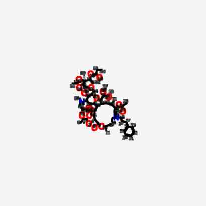 CCC(=O)O[C@@H]1CC(=O)O[C@H](C)CCN(CCCc2ccccc2)C[C@H](OC(C)=O)[C@H](C)C[C@H](CC(OC)OC)[C@H]([C@@H]2O[C@H](C)[C@@H](O[C@@H]3C[C@@](C)(OC(C)=O)[C@@H](OC(=O)CC)[C@H](C)O3)[C@H](N(C)C)[C@H]2OC(C)=O)[C@@H]1OC